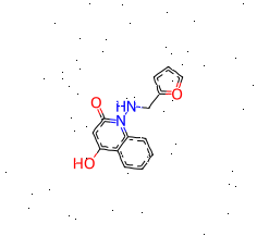 O=c1cc(O)c2ccccc2n1NCc1ccco1